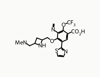 C=Nc1c(OC(F)(F)F)c(C(=O)O)cc(-c2nccs2)c1OCC1CC(CNC)N1